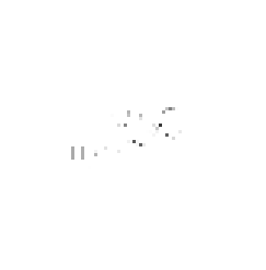 CCC(=CC1CC2CCC1C2)C(=O)O